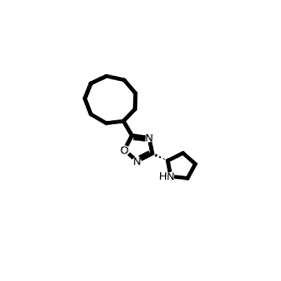 C1CCCCC(c2nc([C@@H]3CCCN3)no2)CCC1